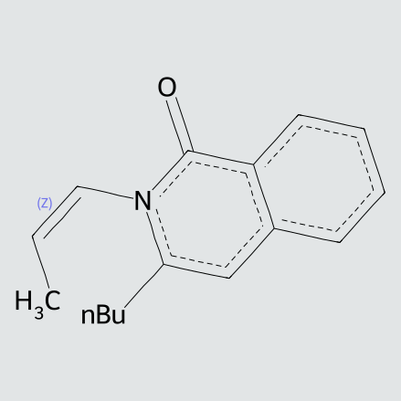 C/C=C\n1c(CCCC)cc2ccccc2c1=O